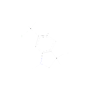 C[N+]1CC(C)(C)c2ccc(C(F)(F)F)cc21